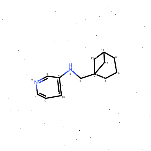 c1cncc(NCC23CCCC(C2)C3)c1